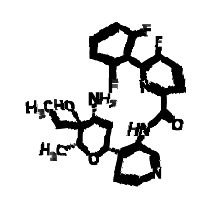 CC[C@]1(O)[C@H](N)C[C@H](c2ccncc2NC(=O)c2ccc(F)c(-c3c(F)cccc3F)n2)O[C@@H]1C